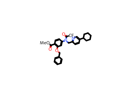 COC(=O)c1ccc(N(Cc2ccc(C3CCCCC3)cn2)C(=O)C(F)(F)F)cc1OCc1ccccc1